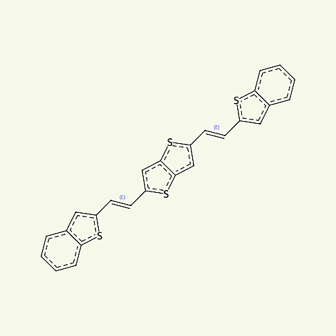 C(=C\c1cc2sc(/C=C/c3cc4ccccc4s3)cc2s1)/c1cc2ccccc2s1